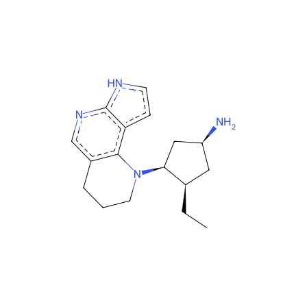 CC[C@@H]1C[C@H](N)C[C@@H]1N1CCCc2cnc3[nH]ccc3c21